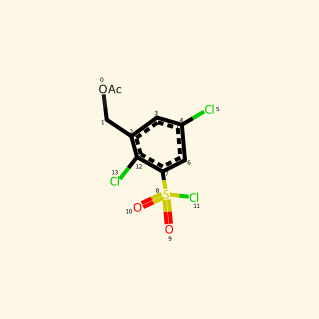 CC(=O)OCc1cc(Cl)cc(S(=O)(=O)Cl)c1Cl